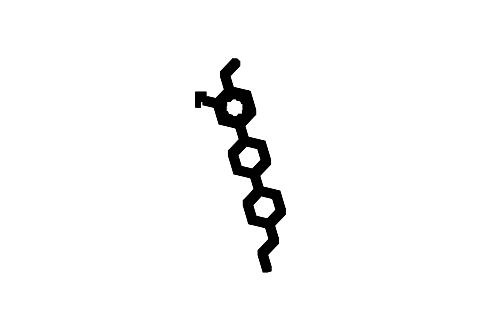 CCCC1CCC(C2CCC(c3ccc(CC)c(F)c3)CC2)CC1